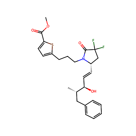 COC(=O)c1ccc(CCCN2C(=O)C(F)(F)C[C@@H]2C=C[C@@H](O)[C@@H](C)Cc2ccccc2)s1